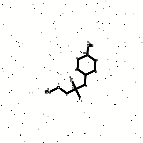 CC(C)(C)OCC(F)(F)CC1CCN(C(C)(C)C)CC1